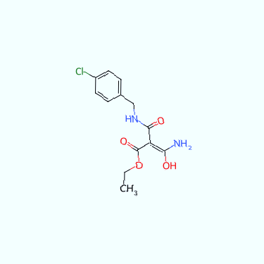 CCOC(=O)/C(C(=O)NCc1ccc(Cl)cc1)=C(/N)O